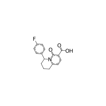 O=C(O)c1ccc2n(c1=O)C(c1ccc(F)cc1)CCC2